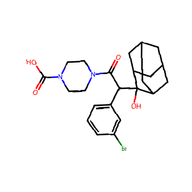 O=C(O)N1CCN(C(=O)C(c2cccc(Br)c2)C2(O)C3CC4CC(C3)CC2C4)CC1